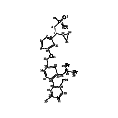 CC[P@@](C)(=O)C[C@@H](c1cccc(OCc2ccc(-c3cc(C)ncc3F)c(CN(C(C)C)C(C)C)c2)c1)C1CC1